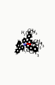 CC(C)(C)c1ccc(-c2cc(C(C)(C)C)ccc2-c2ccccc2N(c2ccc3c(c2)C(C)(C)c2ccccc2-3)c2ccc3c(c2)C2(c4ccccc4-3)C3CC4CC(C3)CC2C4)cc1